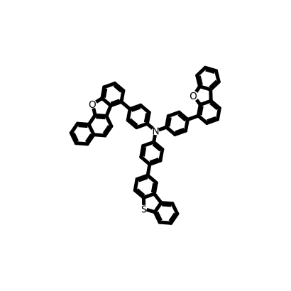 c1ccc2c(c1)ccc1c2oc2cccc(-c3ccc(N(c4ccc(-c5ccc6sc7ccccc7c6c5)cc4)c4ccc(-c5cccc6c5oc5ccccc56)cc4)cc3)c21